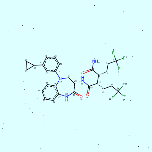 NC(=O)[C@H](CCC(F)(F)F)[C@H](CCC(F)(F)F)C(=O)N[C@H]1CN(c2cccc(C3CC3)c2)c2ccccc2NC1=O